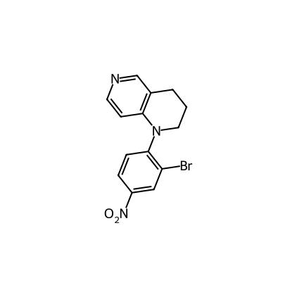 O=[N+]([O-])c1ccc(N2CCCc3cnccc32)c(Br)c1